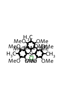 COc1c(C)c(OC)c(OC)c([Si](Cl)(c2c(OC)c(OC)c(C)c(OC)c2OC)c2c(OC)c(OC)c(C)c(OC)c2OC)c1OC